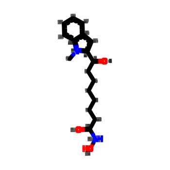 Cn1c(C(=O)CCCCCCC(=O)NO)cc2ccccc21